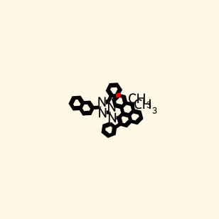 CC1(C)c2ccccc2-c2c3c1cccc3cc1c3ccccc3n(-c3nc(-c4ccccc4)nc(-c4ccc5ccccc5c4)n3)c21